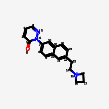 O=c1cccnn1-c1ccc2cc(CCN3CCC3)ccc2c1